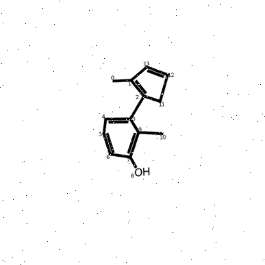 CC1=C(c2cccc(O)c2C)CC=C1